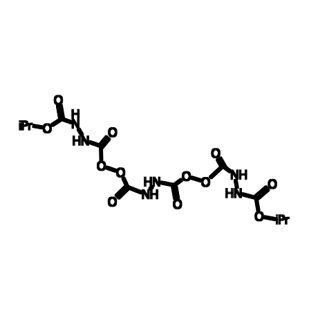 CC(C)OC(=O)NNC(=O)OOC(=O)NNC(=O)OOC(=O)NNC(=O)OC(C)C